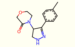 Cc1ccc(C2=NNCC2N2CCOCC2=O)cc1